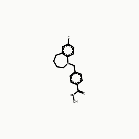 O=C(NO)c1ccc(CN2CCCCc3cc(Cl)ccc32)cc1